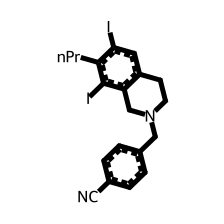 CCCc1c(I)cc2c(c1I)CN(Cc1ccc(C#N)cc1)CC2